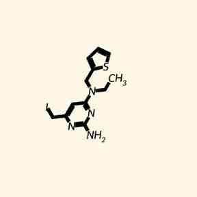 CCN(Cc1cccs1)c1cc(CI)nc(N)n1